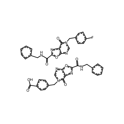 O=C(NCc1ccccc1)c1nc2c(=O)n(Cc3ccc(F)cc3)cnc2o1.O=C(O)c1ccc(Cn2cnc3oc(C(=O)NCc4ccccc4)nc3c2=O)cc1